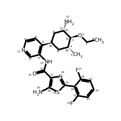 CCO[C@H]1[C@H](C)C[C@@H](c2ccncc2NC(=O)c2nc(-c3c(F)cccc3F)sc2N)C[C@@H]1N